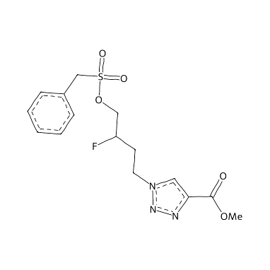 COC(=O)c1cn(CCC(F)COS(=O)(=O)Cc2ccccc2)nn1